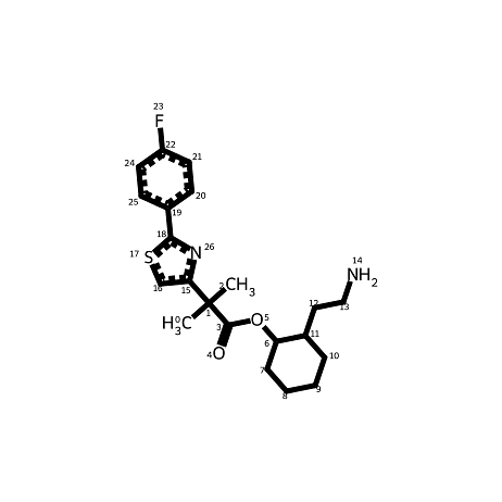 CC(C)(C(=O)OC1CCCCC1CCN)c1csc(-c2ccc(F)cc2)n1